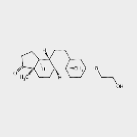 C[C@]12CCC(OCCO)CC1CC[C@@H]1[C@H]2CC[C@]2(C)C(=O)CC[C@@H]12